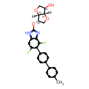 Cc1ccc(-c2ccc(-c3c(F)cc4[nH]c(O[C@H]5CO[C@@H]6[C@H]5OC[C@H]6O)nc4c3F)cc2)cc1